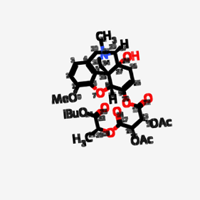 COc1ccc2c3c1O[C@H]1C(OC(=O)[C@H](OC(C)=O)[C@@H](OC(C)=O)C(=O)O[C@@H](C)C(=O)OCC(C)C)=CC[C@@]4(O)[C@@H](C2)N(C)CC[C@]314